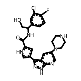 O=C(NC(CO)c1ccc(F)c(Cl)c1)c1cc(-c2n[nH]c3ncc(N4CCNCC4)cc23)c[nH]1